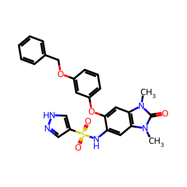 Cn1c(=O)n(C)c2cc(Oc3cccc(OCc4ccccc4)c3)c(NS(=O)(=O)c3cn[nH]c3)cc21